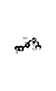 Cl.NC/C(=C\F)Cn1ncn(Cc2ccc(-c3cnc4[nH]ccc4c3)s2)c1=O